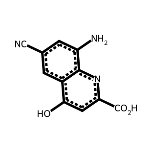 N#Cc1cc(N)c2nc(C(=O)O)cc(O)c2c1